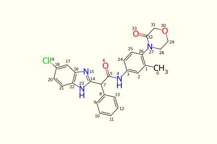 Cc1cc(NC(=O)C(c2ccccc2)c2nc3cc(Cl)ccc3[nH]2)ccc1N1CCOCC1=O